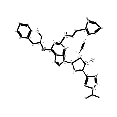 CC(C)n1nnc([C@H]2O[C@@H](n3cnc4c(N[C@H](CO)Cc5ccccc5)nc(NCCc5ccccn5)nc43)[C@H](OC=O)[C@@H]2O)n1